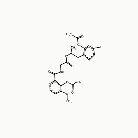 COc1ccnc(C(=O)NCC(=O)OC(C)Cc2ccc(F)cc2OC(C)=O)c1OC(C)=O